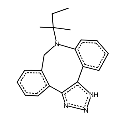 CCC(C)(C)N1Cc2ccccc2-c2nn[nH]c2-c2ccccc21